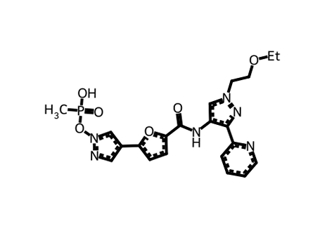 CCOCCn1cc(NC(=O)c2ccc(-c3cnn(OP(C)(=O)O)c3)o2)c(-c2ccccn2)n1